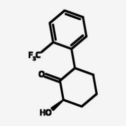 O=C1C(c2ccccc2C(F)(F)F)CCC[C@H]1O